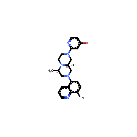 C[C@@H]1CN(c2ccc(C#N)c3ncccc23)C[C@@H]2CN(c3cc(Br)ccn3)CCN21